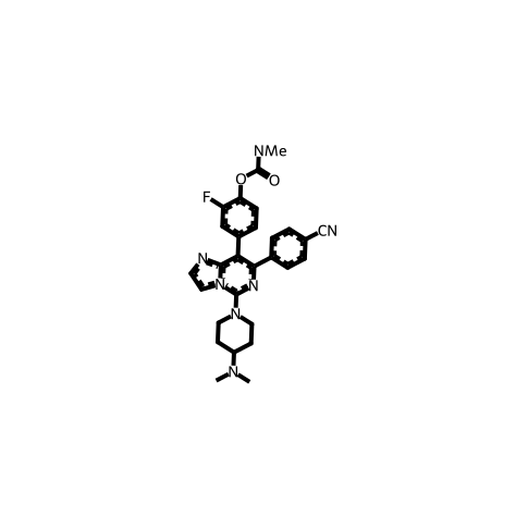 CNC(=O)Oc1ccc(-c2c(-c3ccc(C#N)cc3)nc(N3CCC(N(C)C)CC3)n3ccnc23)cc1F